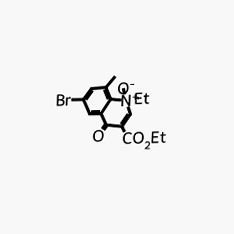 CCOC(=O)C1=C[N+]([O-])(CC)c2c(C)cc(Br)cc2C1=O